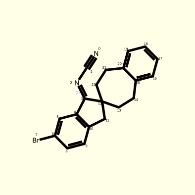 N#C/N=C1/c2cc(Br)ccc2CC12CCc1ccccc1CC2